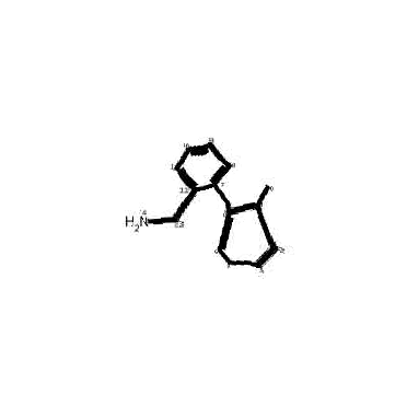 CC1CCC[C]=C1c1ccccc1CN